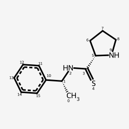 C[C@@H](NC(=S)[C@@H]1CCCN1)c1ccccc1